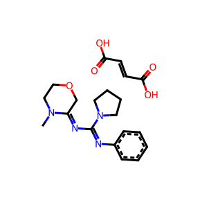 CN1CCOC/C1=N\C(=N\c1ccccc1)N1CCCC1.O=C(O)/C=C/C(=O)O